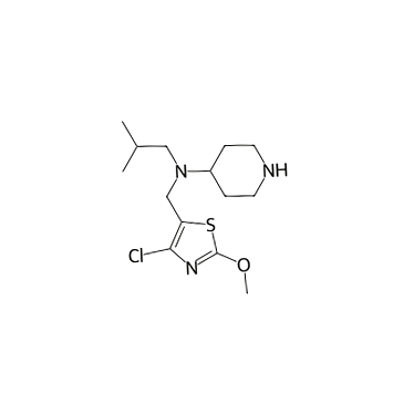 COc1nc(Cl)c(CN(CC(C)C)C2CCNCC2)s1